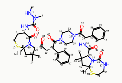 CNN(C)C(=O)N[C@H]1CCS[C@H]2CC(C)(C)[C@@H](C(=O)C[C@H](C(=O)N3CCN(C(=O)[C@@H](NC(=O)[C@H]4N5C(=O)NCCS[C@H]5CC4(C)C)c4ccccc4)CC3)c3ccccc3)N2C1=O